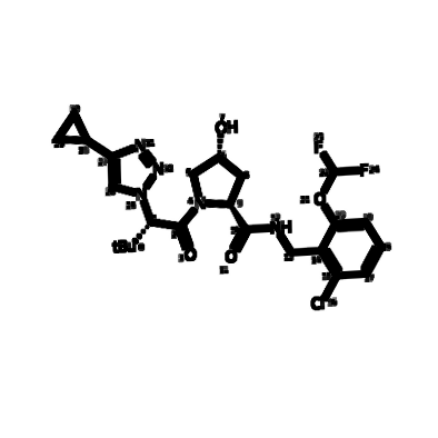 CC(C)(C)[C@@H](C(=O)N1C[C@H](O)C[C@H]1C(=O)NCc1c(Cl)cccc1OC(F)F)n1cc(C2CC2)nn1